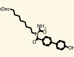 CCCCCCCCCCCCCCCCCCN(C(N)=O)C(=O)c1ccc(-c2ccc(O)cc2)cc1